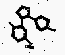 C=O.Cc1ccc(Br)cc1-c1ccsc1-c1ccc(F)cc1